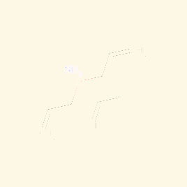 C=CC.C=CCOCC=C.N